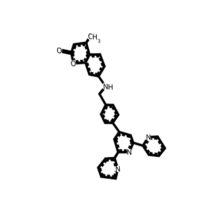 Cc1cc(=O)oc2cc(NCc3ccc(-c4cc(-c5ccccn5)nc(-c5ccccn5)c4)cc3)ccc12